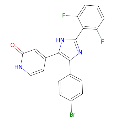 O=c1cc(-c2[nH]c(-c3c(F)cccc3F)nc2-c2ccc(Br)cc2)cc[nH]1